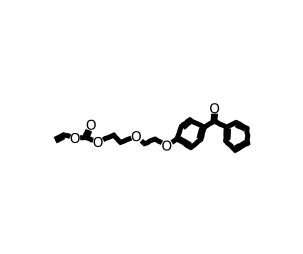 C=COC(=O)OCCOCCOc1ccc(C(=O)c2ccccc2)cc1